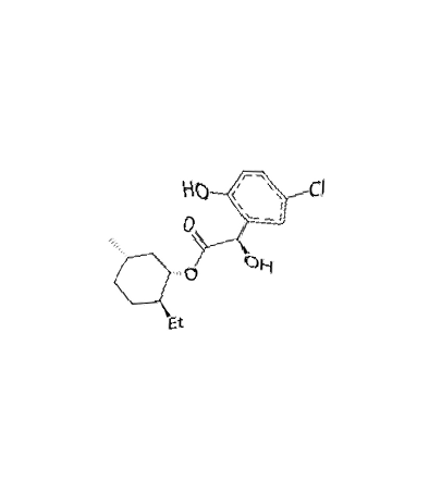 CC[C@H]1CC[C@H](C)C[C@@H]1OC(=O)[C@H](O)c1cc(Cl)ccc1O